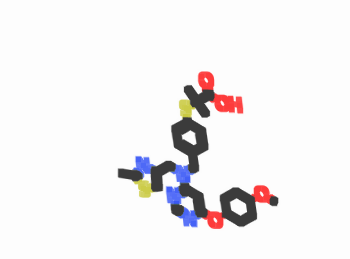 CO[C@H]1CC[C@H](Oc2cc(N(Cc3ccc(SC(C)(C)C(=O)O)cc3)Cc3csc(C)n3)ncn2)CC1